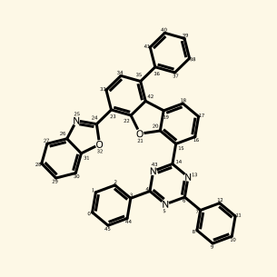 c1ccc(-c2nc(-c3ccccc3)nc(-c3cccc4c3oc3c(-c5nc6ccccc6o5)ccc(-c5ccccc5)c34)n2)cc1